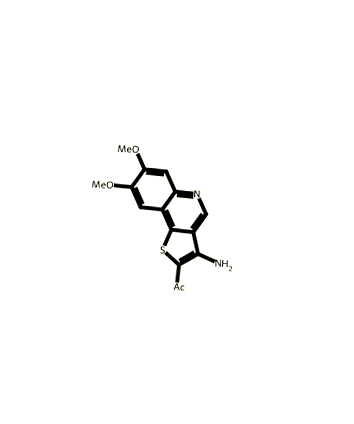 COc1cc2ncc3c(N)c(C(C)=O)sc3c2cc1OC